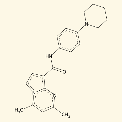 Cc1cc(C)n2ccc(C(=O)Nc3ccc(N4CCCCC4)cc3)c2n1